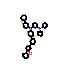 c1ccc(N(c2ccccc2)c2cccc(N(c3ccc4c(c3)sc3ccc(-c5ccc6c(c5)oc5ccccc56)cc34)c3ccc4sc5ccccc5c4c3)c2)cc1